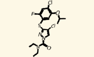 CCN(CC)C(=O)n1cc(Cl)c(Sc2cc(OC(C)C)c(Cl)cc2F)n1